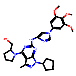 COc1cc(-n2cnc(Nc3nc(N4CCCC4CO)c4c(C)nn(C5CCCC5)c4n3)c2)cc(OC)c1OC